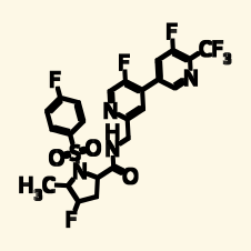 CC1C(F)CC(C(=O)NCc2cc(-c3cnc(C(F)(F)F)c(F)c3)c(F)cn2)N1S(=O)(=O)c1ccc(F)cc1